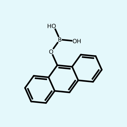 OB(O)Oc1c2ccccc2cc2ccccc12